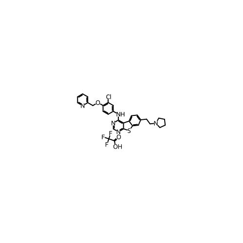 Clc1cc(Nc2ncnc3sc4cc(CCN5CCCC5)ccc4c23)ccc1OCc1ccccn1.O=C(O)C(F)(F)F